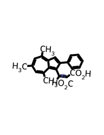 Cc1cc(C)c2cc(-c3ccccc3)c(/C(=C\C(=O)O)C(=O)O)c-2c(C)c1